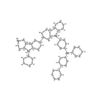 c1ccc(-c2ccc(N(c3ccccc3)c3ccc(-n4c5ccccc5c5ccc(-c6ccc7c(c6)c6cnccc6n7-c6ccccc6)cc54)cc3)cc2)cc1